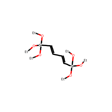 CCO[Si](C=CC=C[Si](OCC)(OCC)OCC)(OCC)OCC